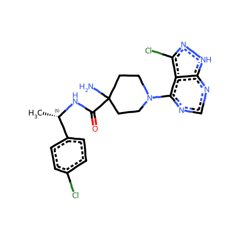 C[C@H](NC(=O)C1(N)CCN(c2ncnc3[nH]nc(Cl)c23)CC1)c1ccc(Cl)cc1